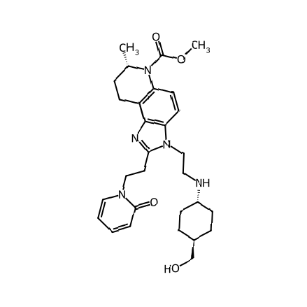 COC(=O)N1c2ccc3c(nc(CCn4ccccc4=O)n3CCN[C@H]3CC[C@H](CO)CC3)c2CC[C@@H]1C